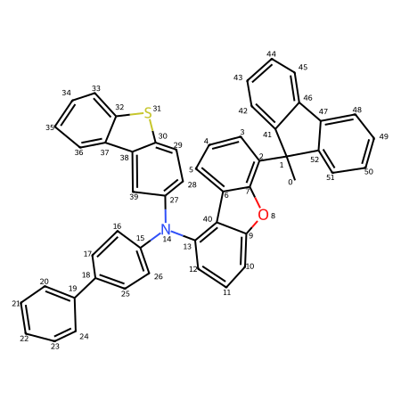 CC1(c2cccc3c2oc2cccc(N(c4ccc(-c5ccccc5)cc4)c4ccc5sc6ccccc6c5c4)c23)c2ccccc2-c2ccccc21